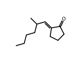 CCCCC(C)/C=C1\CCCC1=O